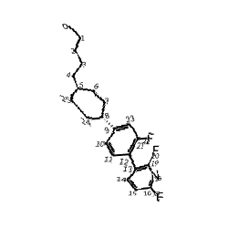 CCCCC[C@H]1CC[C@H](c2ccc(-c3ccc(F)nc3F)c(F)c2)CC1